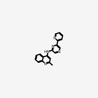 Cc1cc(Nc2cncc(-c3ccccn3)n2)c2ccccc2n1